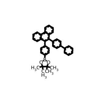 CC1(C)OB(c2ccc(-c3c(-c4ccc(-c5ccccc5)cc4)c4ccccc4c4ccccc34)cc2)OC1(C)C